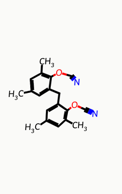 Cc1cc(C)c(OC#N)c(Cc2cc(C)cc(C)c2OC#N)c1